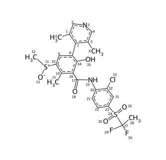 Cc1cncc(C)c1-c1cc([S+](C)[O-])c(C)c(C(=O)Nc2ccc(S(=O)(=O)C(C)(F)F)cc2Cl)c1O